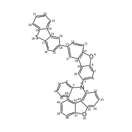 c1ccc(N(c2ccc3oc4ccc(-c5ccc6sc7ccccc7c6c5)cc4c3c2)c2cccc3oc4ccccc4c23)cc1